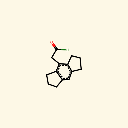 O=C(Cl)Cc1c2c(cc3c1CCC3)CCC2